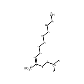 CN(C)CCC(=CCCCCCCCO)C(=O)O